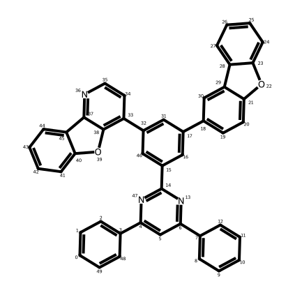 c1ccc(-c2cc(-c3ccccc3)nc(-c3cc(-c4ccc5oc6ccccc6c5c4)cc(-c4ccnc5c4oc4ccccc45)c3)n2)cc1